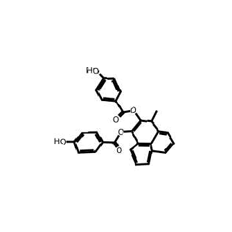 CC1C(OC(=O)c2ccc(O)cc2)=C(OC(=O)c2ccc(O)cc2)c2cccc3cccc1c23